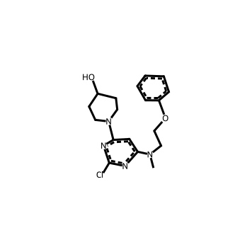 CN(CCOc1ccccc1)c1cc(N2CCC(O)CC2)nc(Cl)n1